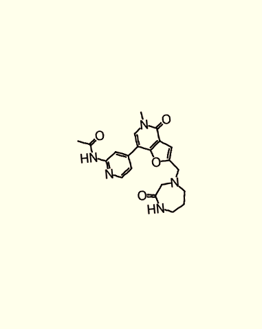 CC(=O)Nc1cc(-c2cn(C)c(=O)c3cc(CN4CCCNC(=O)C4)oc23)ccn1